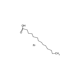 CCCCCCCCCCCCCC(=O)O.[Pr]